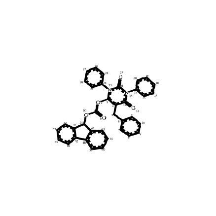 O=C(Oc1c(Cc2ccccc2)c(=O)n(-c2ccccc2)c(=O)n1-c1ccccc1)OC1c2ccccc2-c2ccccc21